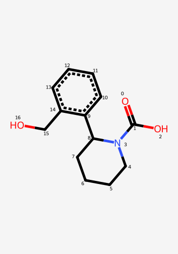 O=C(O)N1CCCCC1c1ccccc1CO